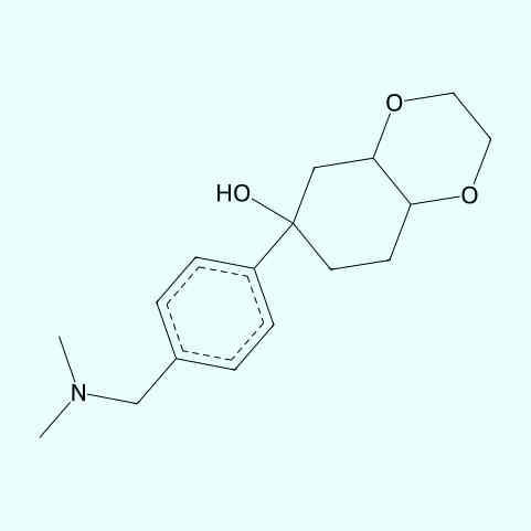 CN(C)Cc1ccc(C2(O)CCC3OCCOC3C2)cc1